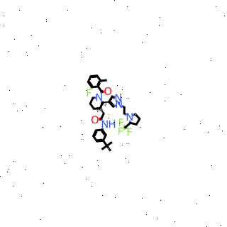 Cc1cccc(F)c1C(=O)N1CCC[C@H](CC(=O)Nc2cccc(C(C)(C)C)c2)[C@@H]1c1cnn(CCN2CCCC2C(F)(F)F)c1